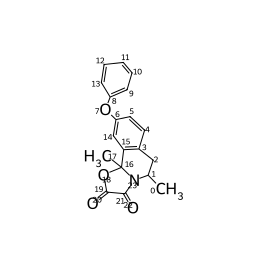 CC1Cc2ccc(Oc3ccccc3)cc2C2(C)OC(=O)C(=O)N12